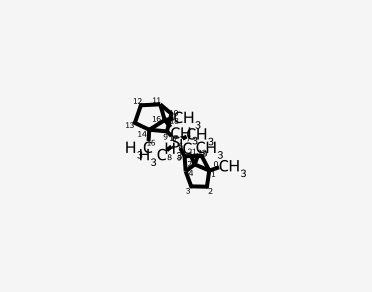 CC12CCC(C([Si](C)(C)C3CC4CCC3(C)C4(C)C)C1)C2(C)C